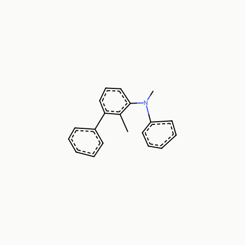 Cc1c(-c2ccccc2)cccc1N(C)c1ccccc1